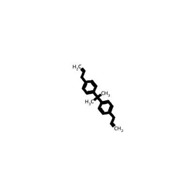 C=CCc1ccc(C(C)(C)c2ccc(CC=C)cc2)cc1